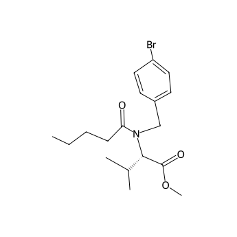 CCCCC(=O)N(Cc1ccc(Br)cc1)[C@H](C(=O)OC)C(C)C